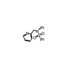 CC(C)N(Cc1ccccn1)S(=O)(=O)C(C)C